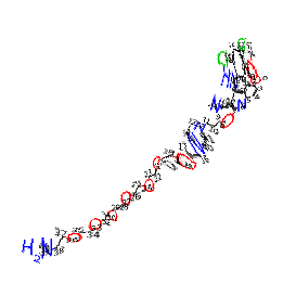 COc1ccc2nc(OCCCN3CCN(CCOCCOCCOCCOCCOCCOCCOCCN)CC3)c(C#N)c(Nc3cc(OC)c(Cl)cc3Cl)c2c1